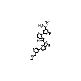 CCNCc1cncc(-c2ccc3[nH]nc(-c4cc5c(-c6cc(F)cc(C(N)CN(C)C)c6)nccc5[nH]4)c3n2)c1